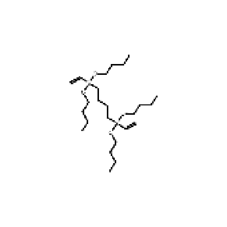 C=C[Si](CCCC[Si](C=C)(OCCCC)OCCCC)(OCCCC)OCCCC